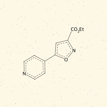 CCOC(=O)c1cc(-c2ccncc2)on1